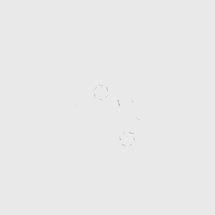 CCc1ccc(OC(C)C(=O)C2CN(Cc3ccccc3)CCN2)c(CC)c1